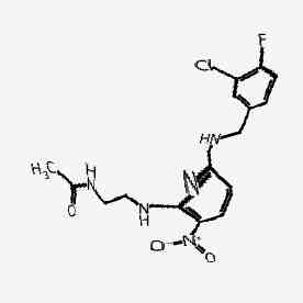 CC(=O)NCCNc1nc(NCc2ccc(F)c(Cl)c2)ccc1[N+](=O)[O-]